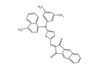 Cc1cc(C)cc(N(c2ccc(C=C3C(=O)c4cc5ccccc5cc4C3=O)s2)c2ccc(C)c3ccccc23)c1